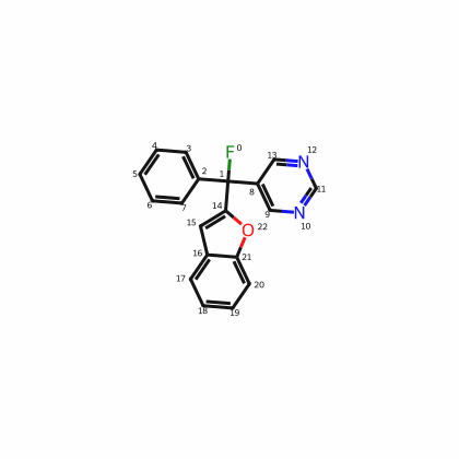 FC(c1ccccc1)(c1cncnc1)c1cc2ccccc2o1